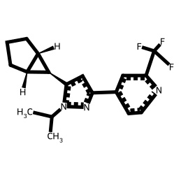 CC(C)n1nc(-c2ccnc(C(F)(F)F)c2)cc1[C@H]1[C@@H]2CCC[C@@H]21